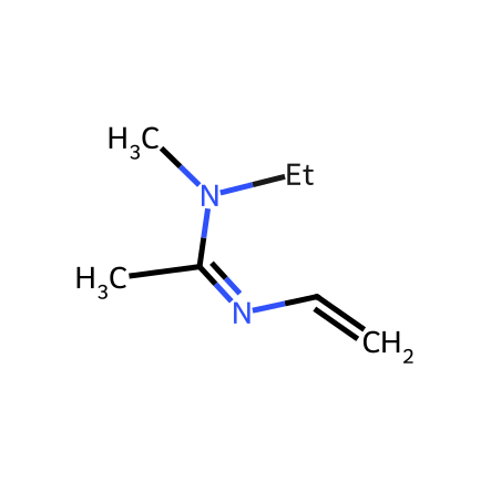 C=C/N=C(/C)N(C)CC